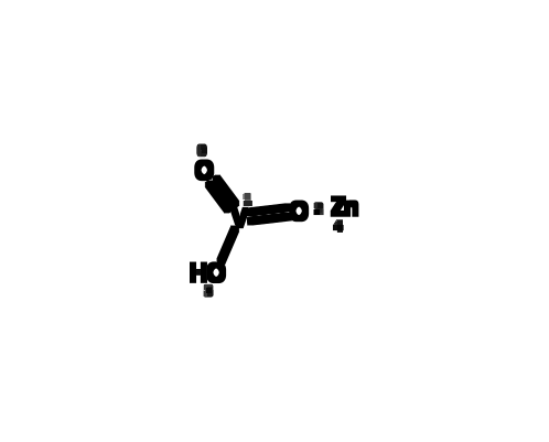 [O]=[V](=[O])[OH].[Zn]